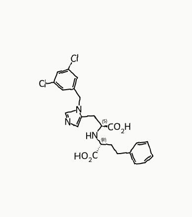 O=C(O)[C@H](Cc1cncn1Cc1cc(Cl)cc(Cl)c1)N[C@H](CCc1ccccc1)C(=O)O